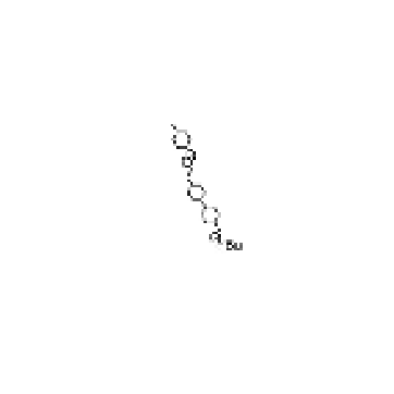 CCCCOCC1CCC(C2CCC(CCOOC3CCC(C)CC3)CC2)CC1